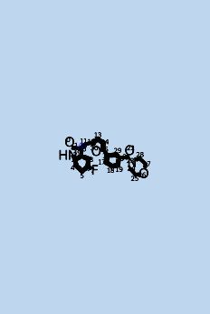 O=C1Nc2ccc(F)cc2/C1=C\c1ccc(-c2cccc(C(=O)N3CCOCC3)c2)o1